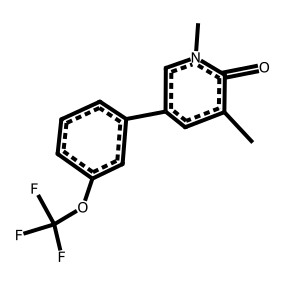 Cc1cc(-c2cccc(OC(F)(F)F)c2)cn(C)c1=O